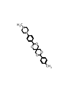 Cc1ccc(C2OCC3(CO2)COC(c2ccc(N4CCN(C)CC4)cc2)OC3)cc1